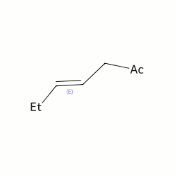 [CH2]C(=O)C/C=C/CC